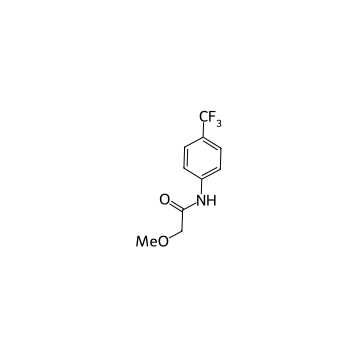 COCC(=O)Nc1ccc(C(F)(F)F)cc1